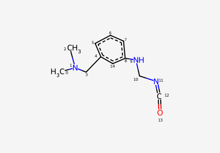 CN(C)Cc1cccc(NCN=C=O)c1